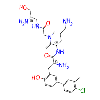 C=C([C@H](CCCN)NC(=O)[C@@H](N)Cc1cc(-c2ccc(Cl)c(C)c2)ccc1O)N(C)CC(=O)NC[C@H](N)CO